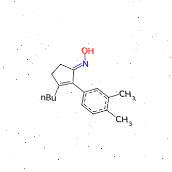 CCCCC1=C(c2ccc(C)c(C)c2)C(=NO)CC1